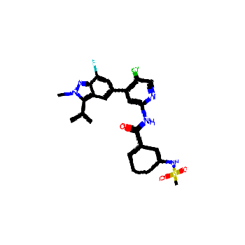 CC(C)c1c2cc(-c3cc(NC(=O)C4CCCC(NS(C)(=O)=O)C4)ncc3Cl)cc(F)c2nn1C